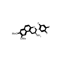 COc1cc2ccc3c(c2cc1OC)C[C@H](N)[C@@H](c1cc(F)c(F)cc1F)O3